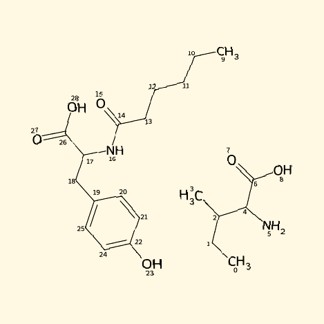 CCC(C)C(N)C(=O)O.CCCCCC(=O)NC(Cc1ccc(O)cc1)C(=O)O